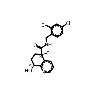 O=C(NCc1ccc(Cl)cc1Cl)[C@@]1(F)CC[C@H](O)c2ncccc21